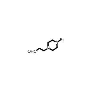 CCN1CCN(CC[C]=O)CC1